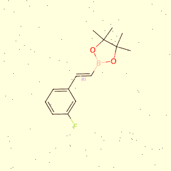 CC1(C)OB(/C=C/c2cccc(F)c2)OC1(C)C